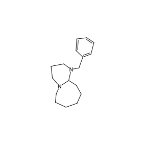 c1ccc(CN2CCCN3CCCCCCC32)cc1